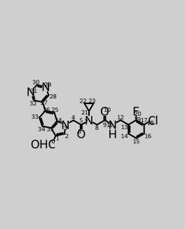 O=Cc1cn(CC(=O)N(CC(=O)NCc2cccc(Cl)c2F)C2CC2)c2cc(-c3cncnc3)ccc12